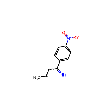 C[CH]CC(=N)c1ccc([N+](=O)[O-])cc1